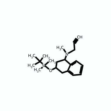 C#CCN(C)C1CC(O[Si](C)(C)C(C)(C)C)Cc2ccccc21